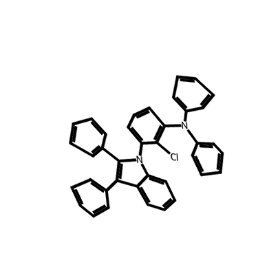 Clc1c(N(c2ccccc2)c2ccccc2)cccc1-n1c(-c2ccccc2)c(-c2ccccc2)c2ccccc21